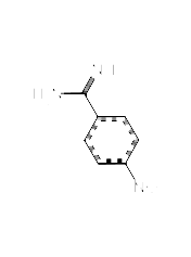 N=C(N)c1ccc(N=O)cc1